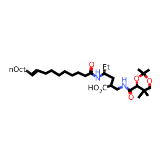 CCCCCCCCC=CCCCCCCCC(=O)NC(CC)CC(CNC(=O)C1OC(C)(C)OCC1(C)C)C(=O)O